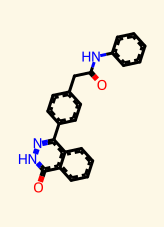 O=C(Cc1ccc(-c2n[nH]c(=O)c3ccccc23)cc1)Nc1ccccc1